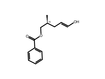 C[C@@H](CC=CO)COC(=O)c1ccccc1